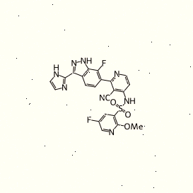 COc1ncc(F)cc1S(=O)(=O)Nc1ccnc(-c2ccc3c(-c4ncc[nH]4)n[nH]c3c2F)c1C#N